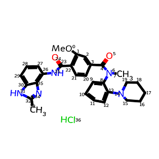 COc1cc(C(=O)N(C)c2ccccc2N2CCCCC2)ccc1C(=O)Nc1cccc2[nH]c(C)nc12.Cl